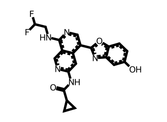 O=C(Nc1cc2c(-c3nc4cc(O)ccc4o3)cnc(NCC(F)F)c2cn1)C1CC1